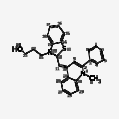 CN1C(c2ccccc2)=CC(=CC2Sc3ccccc3N2CCCO)c2ccccc21